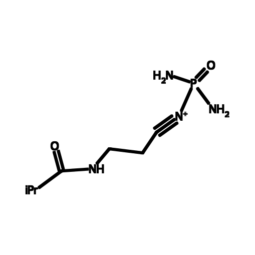 CC(C)C(=O)NCCC#[N+]P(N)(N)=O